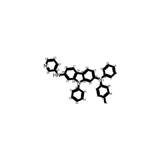 Cc1ccc(N(c2ccccc2)c2ccc3c4ccc(Nc5cccnc5)cc4n(-c4ccccc4)c3c2)cc1